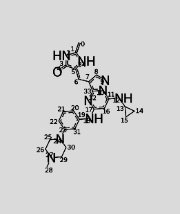 C=c1[nH]c(=O)/c(=C/c2cnn3c(NC4CC4)cc(Nc4cccc(N5CCN(C)CC5)c4)nc23)[nH]1